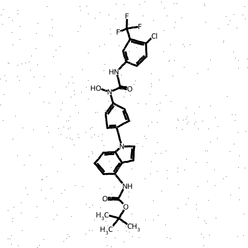 CC(C)(C)OC(=O)Nc1cccc2c1ccn2-c1ccc(N(O)C(=O)Nc2ccc(Cl)c(C(F)(F)F)c2)cc1